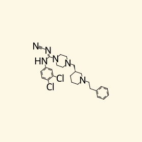 N#C/N=C(\Nc1ccc(Cl)c(Cl)c1)N1CCN(C[C@@H]2CCCN(CCc3ccccc3)C2)CC1